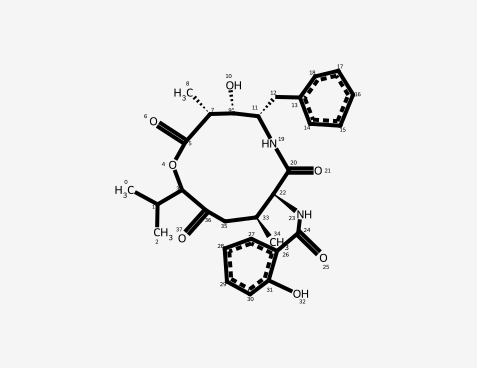 CC(C)C1OC(=O)[C@H](C)[C@H](O)[C@H](Cc2ccccc2)NC(=O)[C@@H](NC(=O)c2ccccc2O)[C@@H](C)CC1=O